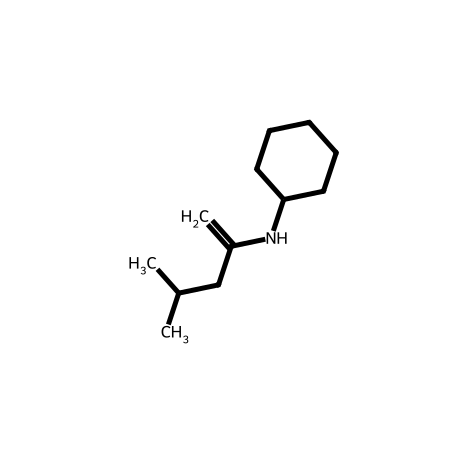 C=C(CC(C)C)NC1CCCCC1